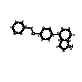 c1ccc(COc2ccc(-c3cccc4[nH]ccc34)cc2)cc1